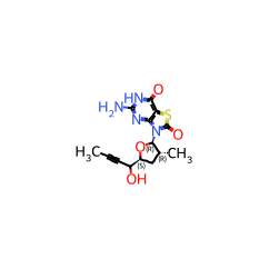 CC#CC(O)[C@@H]1C[C@@H](C)[C@H](n2c(=O)sc3c(=O)[nH]c(N)nc32)O1